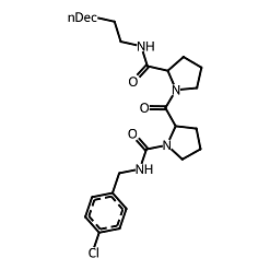 CCCCCCCCCCCCNC(=O)C1CCCN1C(=O)C1CCCN1C(=O)NCc1ccc(Cl)cc1